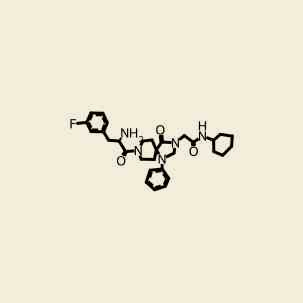 N[C@H](Cc1cccc(F)c1)C(=O)N1CCC2(CC1)C(=O)N(CC(=O)NC1CCCCC1)CN2c1ccccc1